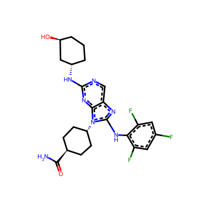 NC(=O)[C@H]1CC[C@H](n2c(Nc3c(F)cc(F)cc3F)nc3cnc(N[C@H]4CCC[C@H](O)C4)nc32)CC1